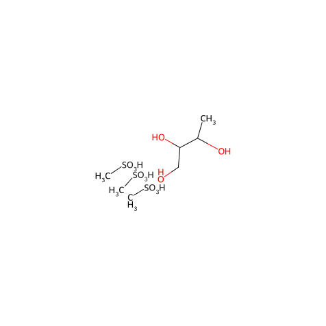 CC(O)C(O)CO.CS(=O)(=O)O.CS(=O)(=O)O.CS(=O)(=O)O